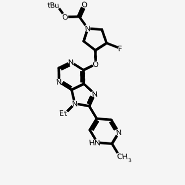 CCn1c(C2=CNC(C)N=C2)nc2c(OC3CN(C(=O)OC(C)(C)C)CC3F)ncnc21